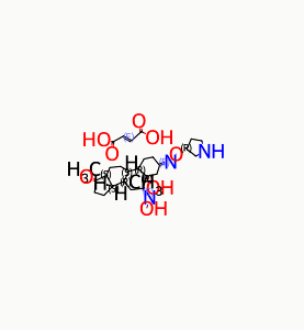 C[C@]12CC[C@H]3[C@@H](C/C(=N\O)[C@@]4(O)C/C(=N/O[C@@H]5CCNC5)CC[C@]34C)[C@@H]1CCC2=O.O=C(O)/C=C/C(=O)O